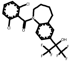 O=C(c1c(Cl)cccc1Cl)N1CCCCc2cc(C(O)(C(F)(F)F)C(F)(F)F)ccc21